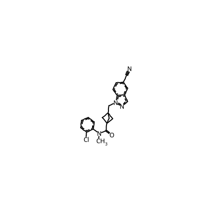 CN(C(=O)C12CC(Cn3ncc4cc(C#N)ccc43)(C1)C2)c1ccccc1Cl